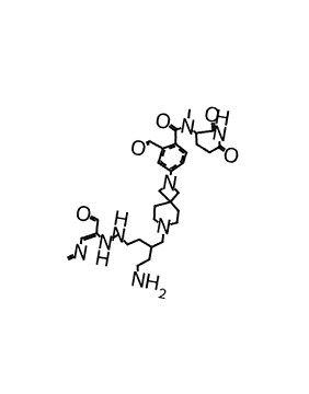 C=N/C=C(/C=O)NNCCC(CCN)CN1CCC2(CC1)CN(c1ccc(C(=O)N(C)C3CCC(=O)NC3=O)c(C=O)c1)C2